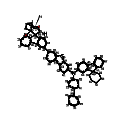 C[C@@H]1CC2C[C@@H]3C2C[C@H](C1)[C@@]31c2ccccc2-c2cc(-c3ccc4c(c3)sc3cc(N(c5ccc(-c6ccccc6)cc5)c5ccc6c(c5)C5(CCCCC5)c5ccccc5-6)ccc34)ccc21